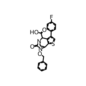 O=C(O)C1c2c(-c3ccc(F)cc3)csc2C2CN1C(=O)N2OCc1ccccc1